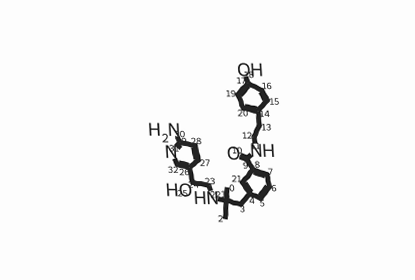 CC(C)(Cc1cccc(C(=O)NCCc2ccc(O)cc2)c1)NC[C@H](O)c1ccc(N)nc1